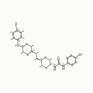 O=C(Nc1ccc(Cl)cc1)N[C@H]1CC[C@H](CCN2CCC(Oc3ccc(F)cc3)CC2)CC1